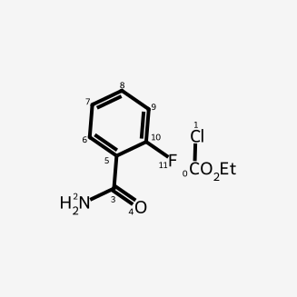 CCOC(=O)Cl.NC(=O)c1ccccc1F